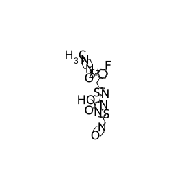 CN1CCN([S+]([O-])c2cc(F)ccc2Cc2cnc(-c3nc4sc(CN5CCOCC5)cn4c(=O)c3O)s2)CC1